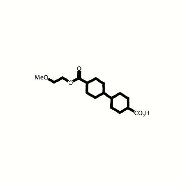 COCCOC(=O)C1CCC(C2CCC(C(=O)O)CC2)CC1